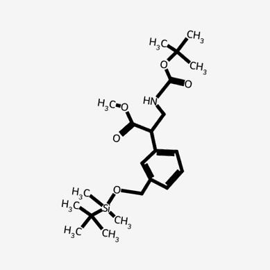 COC(=O)C(CNC(=O)OC(C)(C)C)c1cccc(CO[Si](C)(C)C(C)(C)C)c1